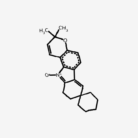 CC1(C)C=Cc2c(ccc3c2[N+]([O-])=C2CCC4(C=C23)CCCCC4)O1